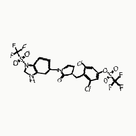 O=C1[C@H](Cc2c(Cl)cc(OS(=O)(=O)C(F)(F)F)cc2Cl)CCN1C1CCC2=C(C1)NCN2S(=O)(=O)C(F)(F)F